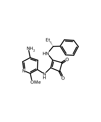 CC[C@@H](Nc1c(Nc2cc(N)cnc2OC)c(=O)c1=O)c1ccccc1